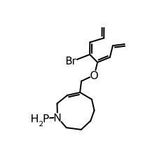 C=C/C=C(Br)\C(=C/C=C)OC/C1=C/CN(P)CCCCC1